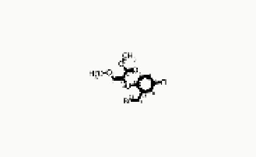 COC=C(Oc1ccc(Cl)cc1CBr)C(=O)OC